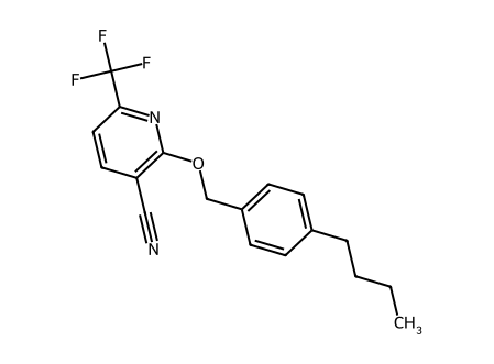 CCCCc1ccc(COc2nc(C(F)(F)F)ccc2C#N)cc1